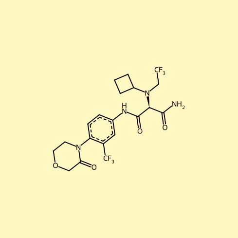 NC(=O)[C@@H](C(=O)Nc1ccc(N2CCOCC2=O)c(C(F)(F)F)c1)N(CC(F)(F)F)C1CCC1